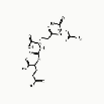 NC(=O)C[C@H](NC(=O)CC[C@H](NC(=O)NC(CCC(=O)O)C(=O)O)C(=O)O)C(=O)O